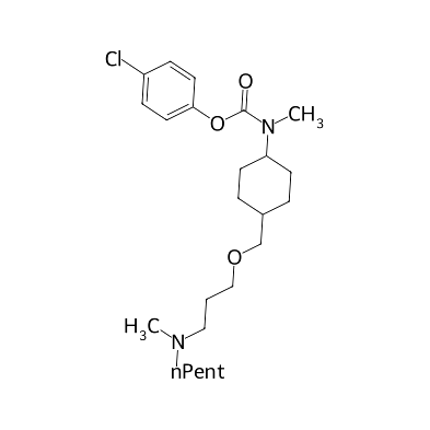 CCCCCN(C)CCCOCC1CCC(N(C)C(=O)Oc2ccc(Cl)cc2)CC1